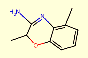 Cc1cccc2c1N=C(N)C(C)O2